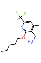 CCCCCOc1nc(C(F)(F)F)cc(C)c1CN